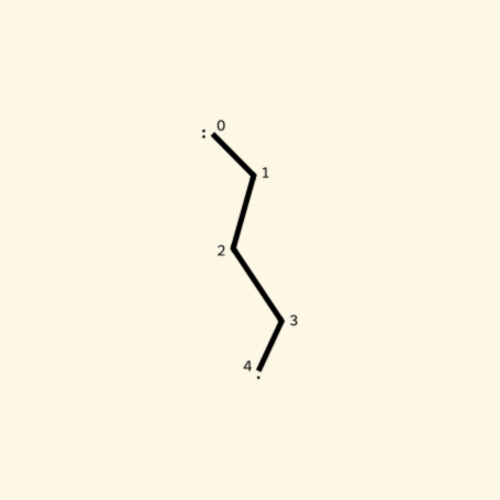 [CH]CCC[CH2]